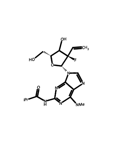 C=C[C@@]1(F)C(O)[C@@H](CO)O[C@H]1n1cnc2c(NC)nc(NC(=O)C(C)C)nc21